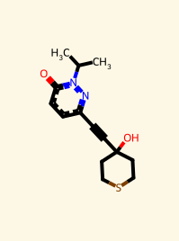 CC(C)n1nc(C#CC2(O)CCSCC2)ccc1=O